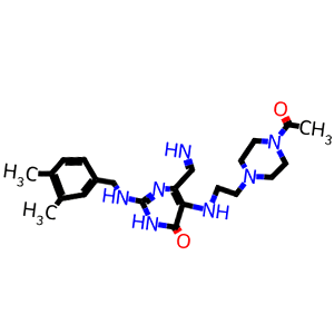 CC(=O)N1CCN(CCNc2c(C=N)nc(NCc3ccc(C)c(C)c3)[nH]c2=O)CC1